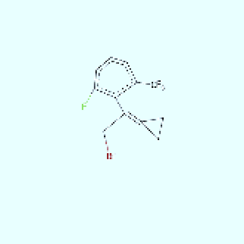 Fc1cccc(C(F)(F)F)c1C(CBr)=C1CC1